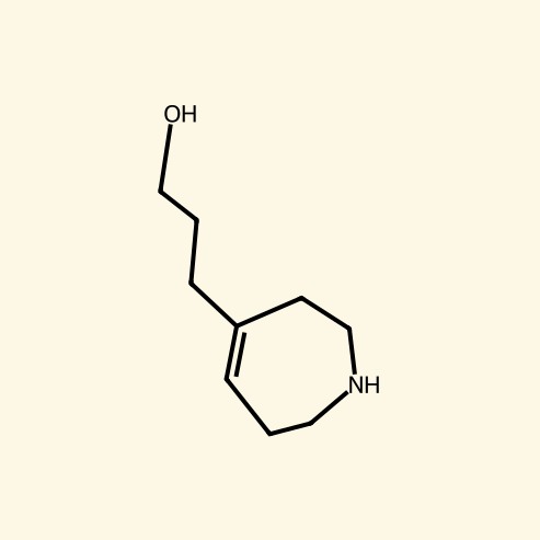 OCCCC1=CCCNCC1